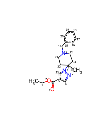 CCOC(=O)c1cnn(C2(C)CCN(Cc3ccccc3)CC2)c1